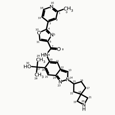 Cc1cc(-c2nc(C(=O)Nc3cc4cn(C5CCC6(CNC6)C5)nc4cc3C(C)(C)O)co2)ccn1